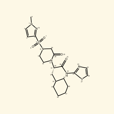 Cn1ccc(S(=O)(=O)N2CCN([C@@H](CC3CCCCC3)C(=O)Nc3nccs3)C(=O)C2)n1